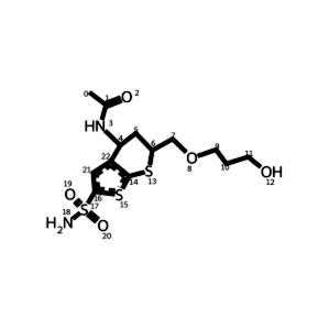 CC(=O)NC1CC(COCCCO)Sc2sc(S(N)(=O)=O)cc21